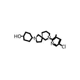 Cc1cc(Cl)cnc1N1CCC[C@]2(CCN([C@H]3CC[C@H](O)CC3)C2)C1